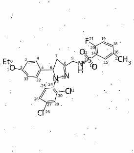 CCOc1ccc(C2CC(CNS(=O)(=O)c3cc(C)ccc3F)=NN2c2ccc(Cl)cc2Cl)cc1